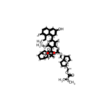 CCc1c(F)ccc2cc(O)cc(-c3nc(OC)c4c(N5CC6CCC(C5)N6C(=O)C(F)(F)F)nc(OC[C@]56CCCN5[C@@H](COC(=O)N(C)C)CC6)nc4c3F)c12